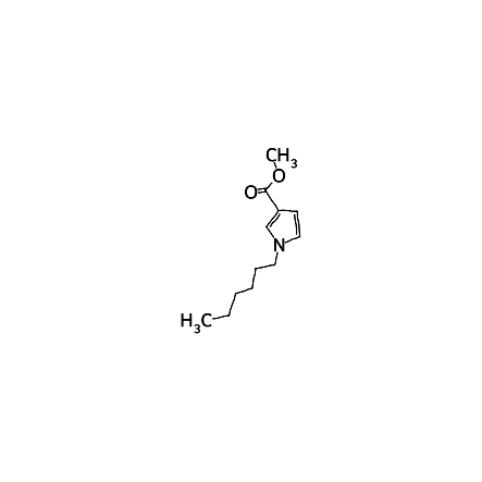 CCCCCCn1ccc(C(=O)OC)c1